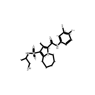 Cc1c(S(=O)(=O)NC(C)CO)c2n(c1C(=O)Nc1ccc(F)c(F)c1)CCCCC2